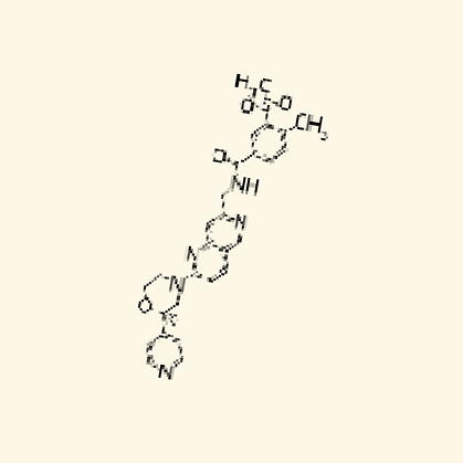 Cc1ccc(C(=O)NCc2cc3nc(N4CCO[C@H](c5ccncc5)C4)ccc3cn2)cc1S(C)(=O)=O